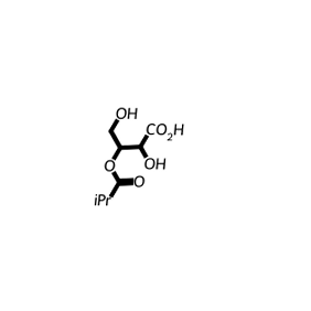 CC(C)C(=O)OC(CO)C(O)C(=O)O